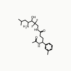 CC(=O)NC(CCC(=O)NCC(F)(F)C(O)C(N)CC(C)C)c1cccc(C)c1